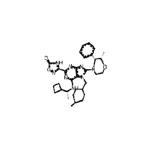 CC1CCC(Cn2c(N3CCO[C@@H](C)[C@H]3c3ccccc3)nc3nc(-c4noc(=O)[nH]4)nc(N[C@H](C)C4CCC4)c32)CC1